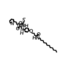 CCCCCCCCCCCCNC(=O)CCCOc1ccc(NC(NC(=O)CSC)C(=O)NCCc2ccccn2)cc1